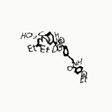 CCOc1ccc(C(=O)NCCc2ccc(S(=O)(=O)NC(=O)C3=CC=C(C(=O)O)N(CC(CC)CC)C3)cc2)cc1